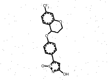 [O-][s+]1nc(O)cc1-c1ccc(OC2CCOc3cc(C(F)(F)F)ccc32)cc1